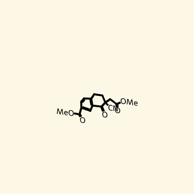 COC(=O)CC1(C#N)CCc2ccc(C(=O)OC)cc2C1=O